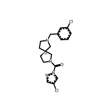 O=C(N1CC[C@]2(CCN(Cc3cccc(Cl)c3)C2)C1)n1cc(Cl)cn1